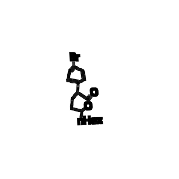 CCCCCCC1CCC(c2ccc(Br)cc2)C(=O)O1